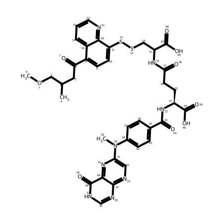 COCC(C)CC(=O)c1ccc(SSCC(NC(=O)CC[C@H](NC(=O)c2ccc(N(C)c3cnc4nc[nH]c(=O)c4n3)cc2)C(=O)O)C(=O)O)c2ncccc12